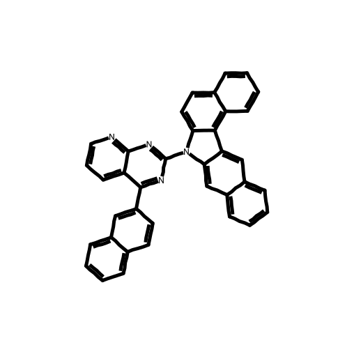 c1ccc2cc(-c3nc(-n4c5cc6ccccc6cc5c5c6ccccc6ccc54)nc4ncccc34)ccc2c1